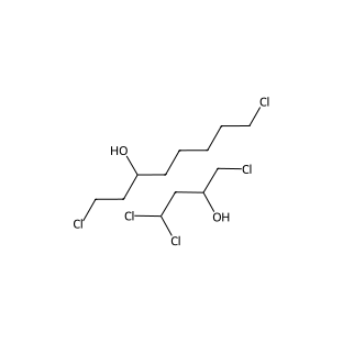 OC(CCCl)CCCCCCl.OC(CCl)CC(Cl)Cl